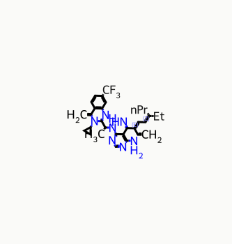 C=C/C(=C\C=C(\CC)CCC)C(=N)c1c(N)ncnc1NC(C)C1=Nc2cc(C(F)(F)F)ccc2C(=C)N1C1CC1